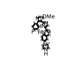 COn1cnc(-c2ccc(F)cc2)c1-c1ncc(C(=O)Nc2ccc(N3CCNCC3)cc2F)[nH]1